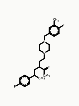 COC(=O)C(CCN1CCN(Cc2ccc(F)c(C)c2)CC1)CC(OC)c1ccc(F)cc1